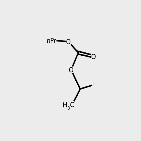 CCCOC(=O)OC(C)I